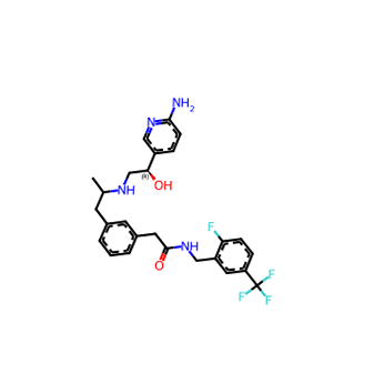 CC(Cc1cccc(CC(=O)NCc2cc(C(F)(F)F)ccc2F)c1)NC[C@H](O)c1ccc(N)nc1